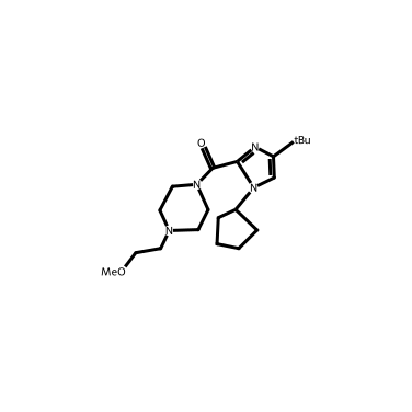 COCCN1CCN(C(=O)c2nc(C(C)(C)C)cn2C2CCCC2)CC1